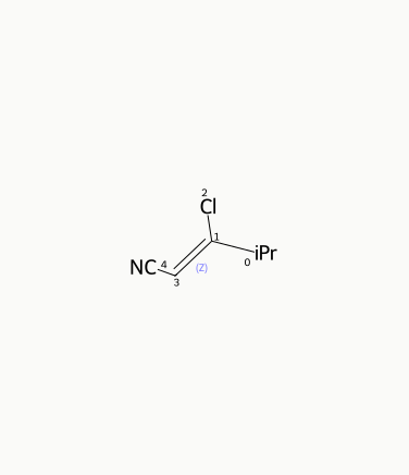 CC(C)/C(Cl)=C/C#N